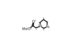 COC(=O)CN1CCC[N]C1